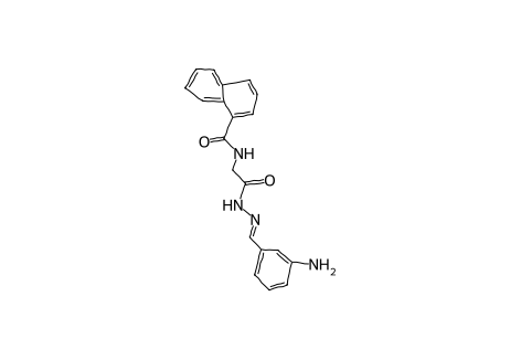 Nc1cccc(C=NNC(=O)CNC(=O)c2cccc3ccccc23)c1